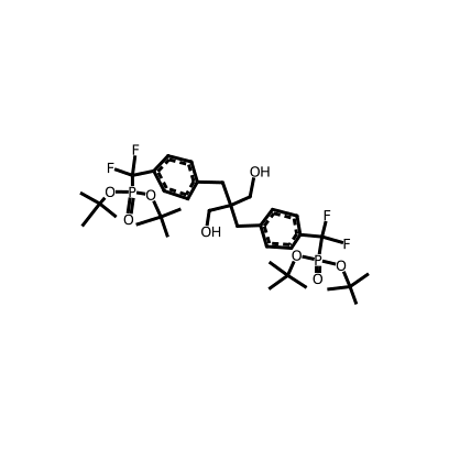 CC(C)(C)OP(=O)(OC(C)(C)C)C(F)(F)c1ccc(CC(CO)(CO)Cc2ccc(C(F)(F)P(=O)(OC(C)(C)C)OC(C)(C)C)cc2)cc1